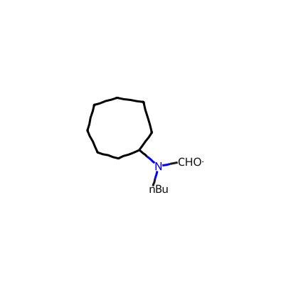 CCCCN([C]=O)C1CCCCCCC1